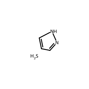 S.c1cn[nH]c1